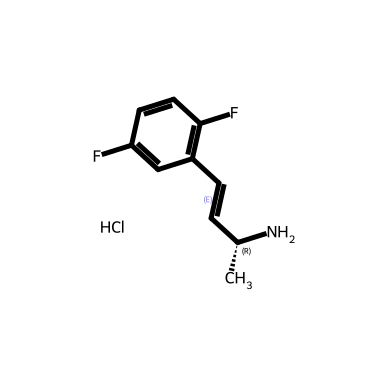 C[C@@H](N)/C=C/c1cc(F)ccc1F.Cl